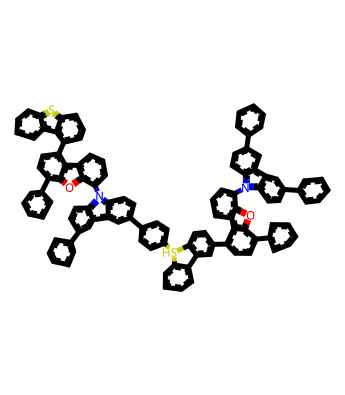 c1ccc(-c2ccc3c(c2)c2cc(-c4ccccc4)ccc2n3-c2cccc3c2oc2c(-c4ccccc4)ccc(-c4ccc5c(c4)-c4ccccc4[SH]5c4ccc(-c5ccc6c(c5)c5cc(-c7ccccc7)ccc5n6-c5cccc6c5oc5c(-c7ccccc7)ccc(-c7cccc8sc9ccccc9c78)c56)cc4)c23)cc1